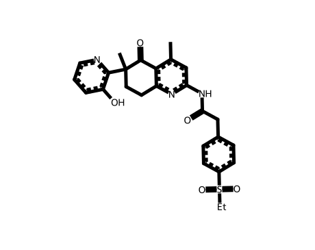 CCS(=O)(=O)c1ccc(CC(=O)Nc2cc(C)c3c(n2)CCC(C)(c2ncccc2O)C3=O)cc1